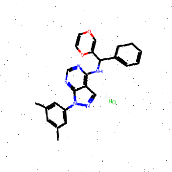 Cc1cc(C)cc(-n2ncc3c(NC(C4=CC=CCC4)C4=COC=CO4)ncnc32)c1.Cl